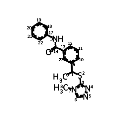 CC(Sc1nncn1C)c1cccc(C(=O)Nc2ccccc2)c1